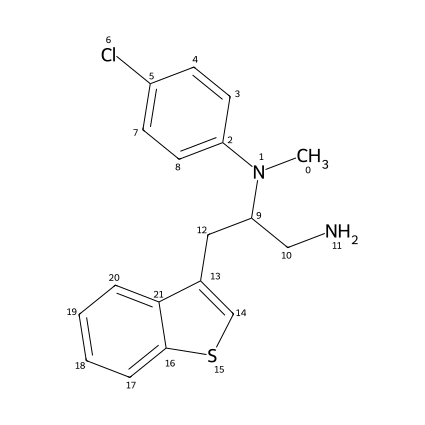 CN(c1ccc(Cl)cc1)C(CN)Cc1csc2ccccc12